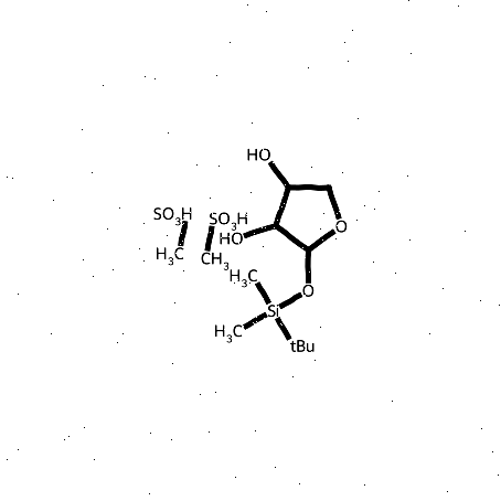 CC(C)(C)[Si](C)(C)OC1OCC(O)C1O.CS(=O)(=O)O.CS(=O)(=O)O